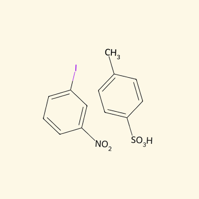 Cc1ccc(S(=O)(=O)O)cc1.O=[N+]([O-])c1cccc(I)c1